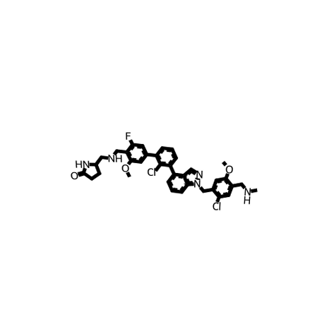 CNCc1cc(Cl)c(Cn2ncc3c(-c4cccc(-c5cc(F)c(CNCC6CCC(=O)N6)c(OC)c5)c4Cl)cccc32)cc1OC